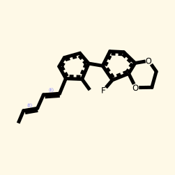 C/C=C/C=C/c1cccc(-c2ccc3c(c2F)OCCO3)c1C